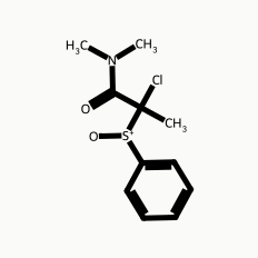 CN(C)C(=O)C(C)(Cl)[S+]([O-])c1ccccc1